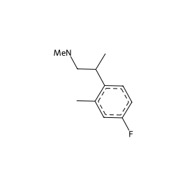 CNCC(C)c1ccc(F)cc1C